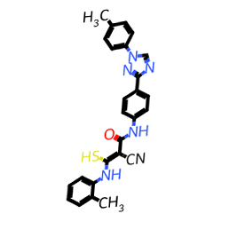 Cc1ccc(-n2cnc(-c3ccc(NC(=O)/C(C#N)=C(\S)Nc4ccccc4C)cc3)n2)cc1